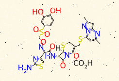 Cc1cc(SCC2=C(OC(=O)O)N3C(=O)[C@@H](NC(=O)/C(=N\OCS(=O)(=O)c4ccc(O)c(O)c4)c4csc(N)n4)[C@H]3SC2)n2nc(C)cc2n1